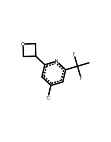 CC(F)(F)c1cc(Cl)cc(C2COC2)n1